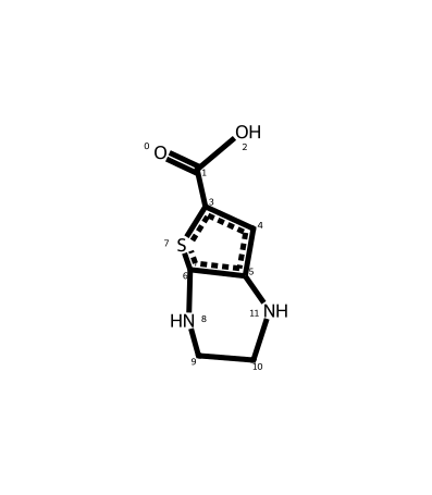 O=C(O)c1cc2c(s1)NCCN2